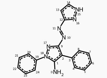 Nc1c(-c2ccccc2)c(N=Nc2cc[nH]n2)nn1-c1ccccc1